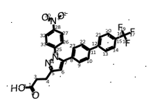 O=C(O)CCc1cc(-c2ccc(-c3ccc(C(F)(F)F)cc3)cc2)n(-c2ccc([N+](=O)[O-])cc2)n1